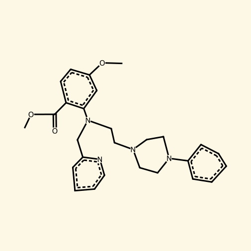 COC(=O)c1ccc(OC)cc1N(CCN1CCN(c2ccccc2)CC1)Cc1ccccn1